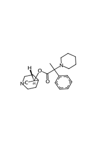 CC(C(=O)O[C@H]1CN2CCC1CC2)(c1ccccc1)N1CCCCC1